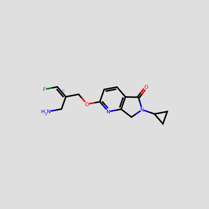 NC/C(=C\F)COc1ccc2c(n1)CN(C1CC1)C2=O